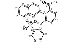 Cc1cccc([N+](=O)[O-])c1-c1ccc2ccccc2c1OP(=O)(O)c1ccccc1